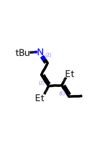 C/C=C(CC)/C(=C\C=N/C(C)(C)C)CC